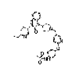 CCc1ccc(NC(=O)N(c2ccccc2)C2CCN(Cc3ccc(Oc4ccc(NS(C)(=O)=O)cc4)nc3)CC2)cn1